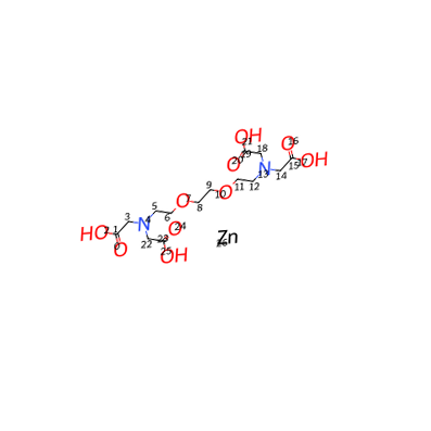 O=C(O)CN(CCOCCOCCN(CC(=O)O)CC(=O)O)CC(=O)O.[Zn]